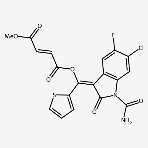 COC(=O)C=CC(=O)OC(=C1C(=O)N(C(N)=O)c2cc(Cl)c(F)cc21)c1cccs1